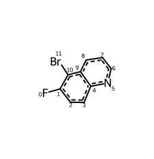 Fc1ccc2ncccc2c1Br